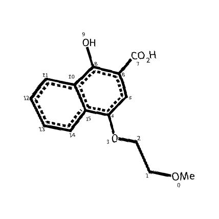 COCCOc1cc(C(=O)O)c(O)c2ccccc12